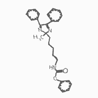 CC1(CCCCCNC(=O)Oc2ccccc2)N=C(c2ccccc2)C(c2ccccc2)=N1